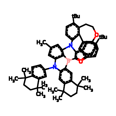 Cc1cc2c3c(c1)N(c1ccc(C(C)(C)C)c4c1-c1ccccc1OCC4)c1c(oc4ccc(C(C)(C)C)cc14)B3c1cc3c(cc1N2c1ccc2c(c1)C(C)(C)CCC2(C)C)C(C)(C)CCC3(C)C